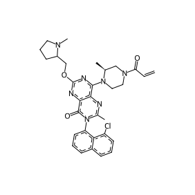 C=CC(=O)N1CCN(c2nc(OCC3CCCN3C)nc3c(=O)n(-c4cccc5cccc(Cl)c45)c(C)nc23)[C@@H](C)C1